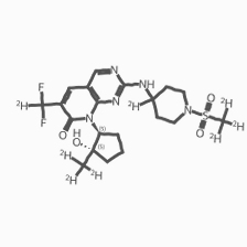 [2H]C1(Nc2ncc3cc(C([2H])(F)F)c(=O)n([C@H]4CCC[C@@]4(O)C([2H])([2H])[2H])c3n2)CCN(S(=O)(=O)C([2H])([2H])[2H])CC1